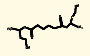 CC(CCO)OC(=O)CCCCC(=O)OC(C)CCO